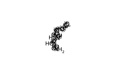 NS(=O)(=O)OC[C@H]1C[C@@H](Nc2ncncc2C(=O)c2ccn(Cc3cccc(N4CCOCC4)c3)n2)C[C@@H]1O